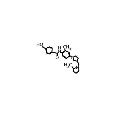 Cc1cc(N2CCC(CN3CCCC3C)C2)ccc1NC(=O)c1ccc(CO)cc1